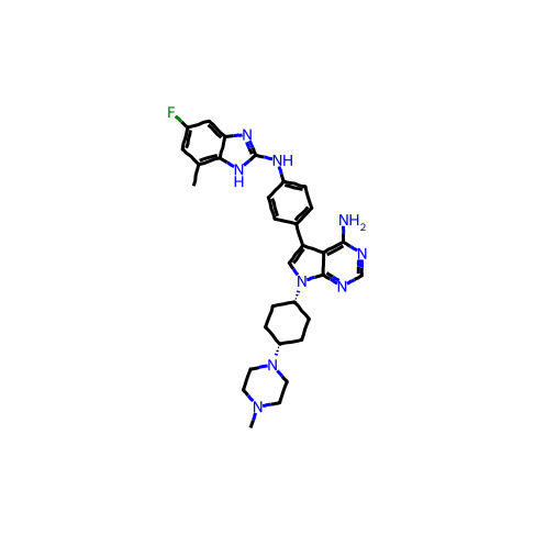 Cc1cc(F)cc2nc(Nc3ccc(-c4cn([C@H]5CC[C@@H](N6CCN(C)CC6)CC5)c5ncnc(N)c45)cc3)[nH]c12